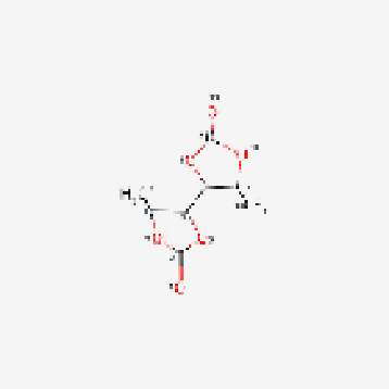 CC1OC(=O)OC1C1OC(=O)OC1C(F)(F)F